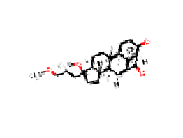 C[C@]12CC[C@H]3[C@@H]([C@@H]4C[C@]5(C#N)[C@@H](C(=O)CC[C@]35C)C4=O)[C@@H]1CC[C@]2(CCCO[N+](=O)[O-])O[N+](=O)[O-]